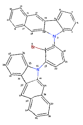 Brc1c(-n2c3ccccc3c3cc4ccccc4cc32)cccc1-n1c2ccccc2c2cc3ccccc3cc21